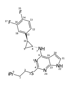 CC(C)CCSc1nc(N[C@@H]2C[C@H]2c2ccc(F)c(F)c2)c2cc[nH]c2n1